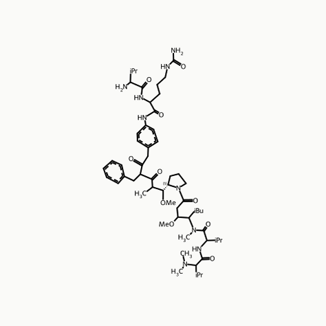 CCC(C)C(C(CC(=O)N1CCC[C@H]1C(OC)C(C)C(=O)C(Cc1ccccc1)C(=O)Cc1ccc(NC(=O)C(CCCNC(N)=O)NC(=O)C(N)C(C)C)cc1)OC)N(C)C(=O)C(NC(=O)C(C(C)C)N(C)C)C(C)C